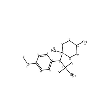 COc1ccc(C(C(C)(C)N)[Si]2(O)CCC(O)CC2)cc1